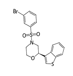 O=S(=O)(c1cccc(Br)c1)N1CCO[C@H](c2csc3ccccc23)C1